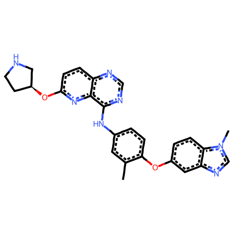 Cc1cc(Nc2ncnc3ccc(O[C@H]4CCNC4)nc23)ccc1Oc1ccc2c(c1)ncn2C